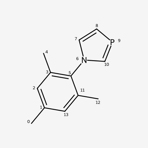 Cc1cc(C)c(-n2ccpc2)c(C)c1